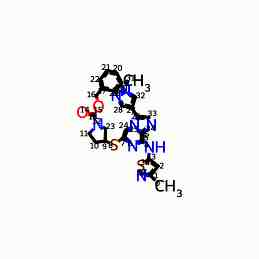 Cc1cc(Nc2nc(SC3CCN(C(=O)OCc4ccccc4)C3)cn3c(-c4cnn(C)c4)cnc23)sn1